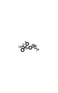 Cc1cccc(C(Nc2ccc(N(CCN(C)C)S(C)(=O)=O)cc2)=C2C(=O)Nc3ccccc32)c1